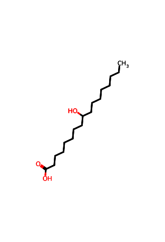 CCCCCCCCC(O)CCCCCCCC(=O)O